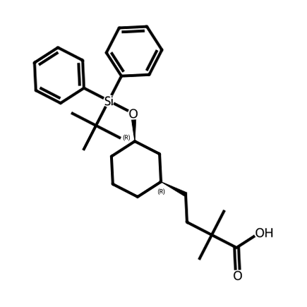 CC(C)(CC[C@H]1CCC[C@@H](O[Si](c2ccccc2)(c2ccccc2)C(C)(C)C)C1)C(=O)O